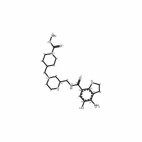 CC(C)(C)OC(=O)N1CCC(CN2CCOC(CNC(=O)c3cc(Cl)c(N)c4c3OCC4)C2)CC1